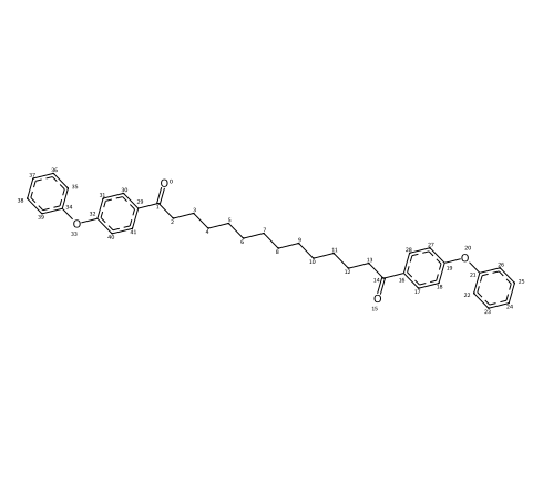 O=C(CCCCCCCCCCCCC(=O)c1ccc(Oc2ccccc2)cc1)c1ccc(Oc2ccccc2)cc1